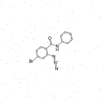 [N-]=[N+]=Nc1cc(Br)ccc1C(=O)Nc1ccccc1